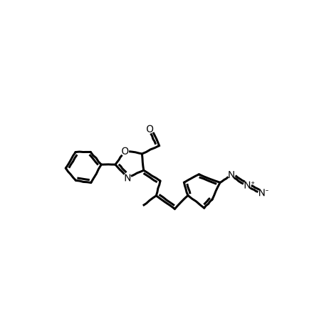 CC(=Cc1ccc(N=[N+]=[N-])cc1)C=C1N=C(c2ccccc2)OC1C=O